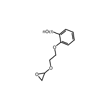 CCCCCCCCc1ccccc1OCCOC1CO1